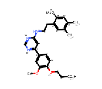 CCOc1cc(-c2cc(NCCc3cc(C)c(C)cc3OC)ncn2)ccc1OCCC(=O)O